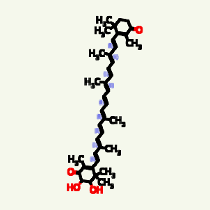 CC1=C(/C=C/C(C)=C/C=C/C(C)=C/C=C/C=C(C)/C=C/C=C(C)/C=C/C2=C(C)C(=O)C(O)C(O)C2(C)C)C(C)(C)CCC1=O